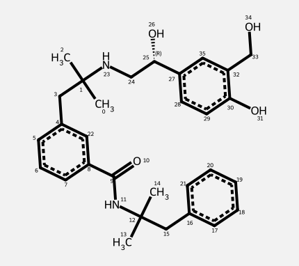 CC(C)(Cc1cccc(C(=O)NC(C)(C)Cc2ccccc2)c1)NC[C@H](O)c1ccc(O)c(CO)c1